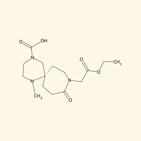 CCOC(=O)CN1CC[C@@]2(CCC1=O)CN(C(=O)O)CCN2C